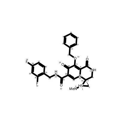 CN[SH]1C[C@]12CNC(=O)c1c(OCc3ccccc3)c(=O)c(C(=O)NCc3ccc(F)cc3F)cn12